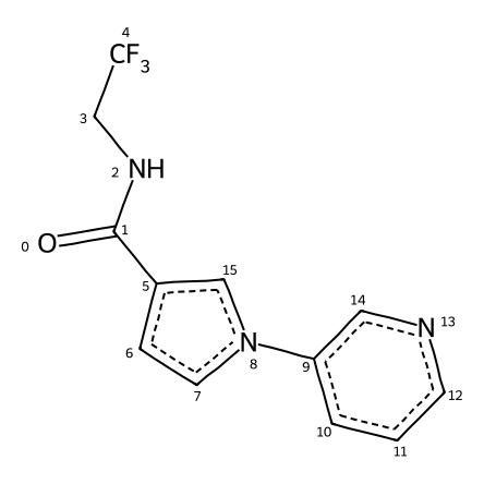 O=C(NCC(F)(F)F)c1ccn(-c2cccnc2)c1